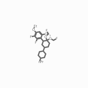 CCCC1CCC(C2CCC(OCF)(OCF)C(c3c(C)cc(OCC)c(F)c3F)C2)CC1